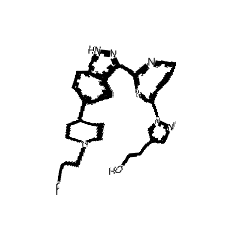 OCCc1cnn(-c2ccnc(-c3n[nH]c4ccc(C5CCN(CCF)CC5)cc34)n2)c1